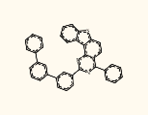 c1ccc(-c2cccc(-c3cccc(-c4nc(-c5ccccc5)c5ccc6sc7ccccc7c6c5n4)c3)c2)cc1